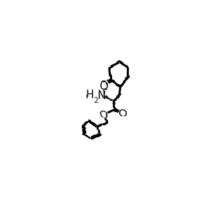 N[C@@H](CC1CCCCC1=O)C(=O)OCc1ccccc1